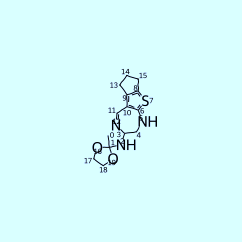 CC1(NC2CNc3sc4c(c3C=N2)CCC4)OCCO1